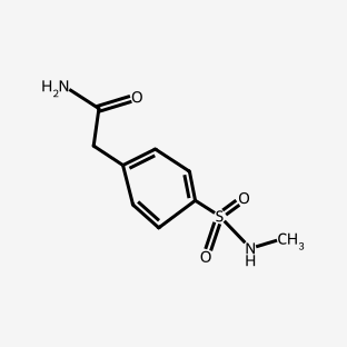 CNS(=O)(=O)c1ccc(CC(N)=O)cc1